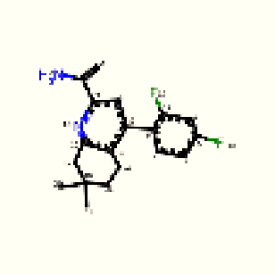 C=C(N)c1cc(-c2ccc(F)cc2F)c2c(n1)CC(C)(C)CC2